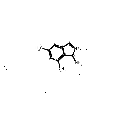 Cc1cc(C)c2c(c1)C=NC2N